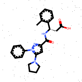 Cc1ccccc1[C@H](CC(=O)O)NC(=O)c1cc(N2CCCC2)n(-c2ccccc2)n1